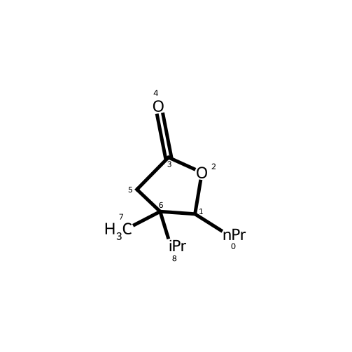 CCCC1OC(=O)CC1(C)C(C)C